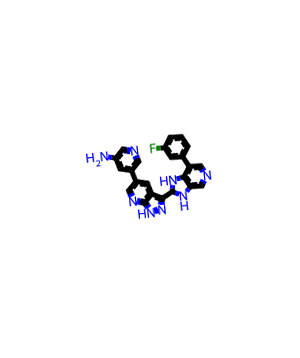 Nc1cncc(-c2cnc3[nH]nc(C4Nc5cncc(-c6cccc(F)c6)c5N4)c3c2)c1